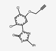 C#CCOc1cc(-n2nc(C(C)C)sc2=O)c(Cl)cc1Cl